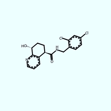 O=C(NCc1ccc(Cl)cc1Cl)[C@@H]1CC[C@@H](O)c2ncccc21